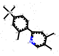 Cc1cnc(-c2ccc([Si](C)(C)C)cc2C)cc1C